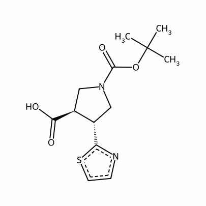 CC(C)(C)OC(=O)N1C[C@H](C(=O)O)[C@@H](c2nccs2)C1